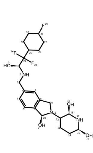 O[C@H](NCc1ccc2c(c1)CN(C1CC[C@H](O)N[C@@H]1O)[C@H]2O)C(F)(F)C1CCC(F)CC1